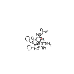 CC(C)C[C@H](O)[C@H](O)[C@H](CC1CCCCC1)N(CC1CCCCC1)C(=O)[C@@H](CC(=O)NCC(=O)C(C)C)Cc1csc(N)n1